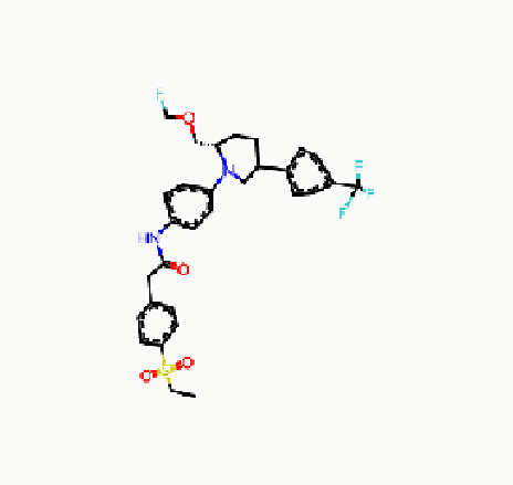 CCS(=O)(=O)c1ccc(CC(=O)Nc2ccc(N3CC(c4ccc(C(F)(F)F)cc4)CC[C@H]3COCF)cc2)cc1